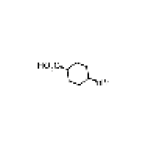 CCC[C@H]1CC[C@@H](C(=O)O)CC1